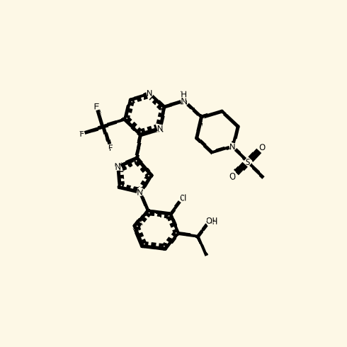 CC(O)c1cccc(-n2cnc(-c3nc(NC4CCN(S(C)(=O)=O)CC4)ncc3C(F)(F)F)c2)c1Cl